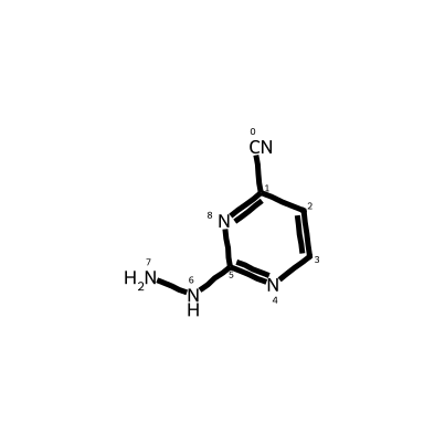 N#Cc1ccnc(NN)n1